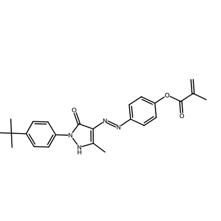 C=C(C)C(=O)Oc1ccc(N=Nc2c(C)[nH]n(-c3ccc(C(C)(C)C)cc3)c2=O)cc1